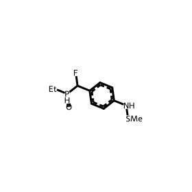 CC[PH](=O)C(F)c1ccc(NSC)cc1